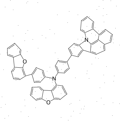 c1ccc2c(c1)oc1c(-c3ccc(N(c4ccc(-c5ccc6c(c5)c5ccc7cccc8c9ccccc9n6c5c78)cc4)c4cccc5oc6ccccc6c45)cc3)cccc12